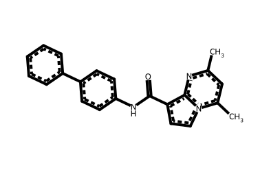 Cc1cc(C)n2ccc(C(=O)Nc3ccc(-c4ccccc4)cc3)c2n1